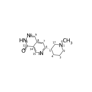 CN1CCC[C@H](c2cc3cn[nH]c(=O)c3cn2)C1